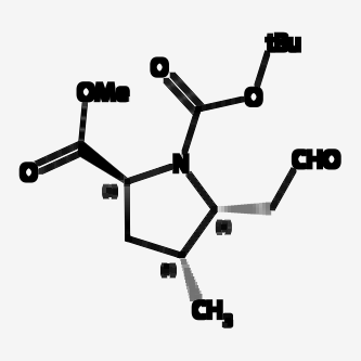 COC(=O)[C@@H]1C[C@@H](C)[C@@H](CC=O)N1C(=O)OC(C)(C)C